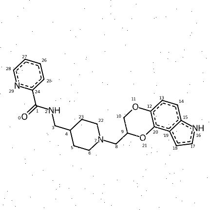 O=C(NCC1CCN(CC2COc3ccc4[nH]ccc4c3O2)CC1)c1ccccn1